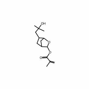 C=C(C)C(=O)OC1OC2CC1CC2CC(C)(C)O